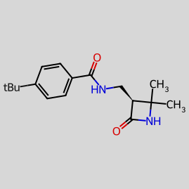 CC(C)(C)c1ccc(C(=O)NC[C@@H]2C(=O)NC2(C)C)cc1